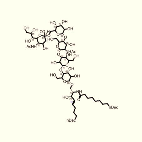 CCCCCCCCCCCCC/C=C/[C@@H](O)[C@H](CO[C@@H]1OC(CO)[C@@H](O[C@@H]2OC(CO)[C@H](O)[C@H](O[C@@H]3OC(CO)[C@@H](O[C@@H]4OC(CO[C@]5(C(=O)O)CC(O)[C@@H](NC(C)=O)C([C@H](O)[C@H](O)CO)O5)[C@H](O)[C@H](O)C4O)[C@H](O)C3NC(C)=O)C2O)[C@H](O)C1O)NC(=O)CCCCCCCCCCCCCCCCC